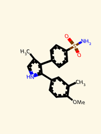 COc1ccc(-c2[nH]cc(C)c2-c2ccc(S(N)(=O)=O)cc2)cc1C